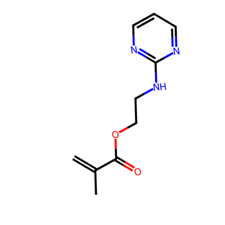 C=C(C)C(=O)OCCNc1ncccn1